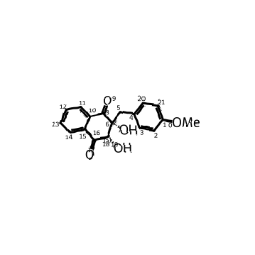 COc1ccc(C[C@]2(O)C(=O)c3ccccc3C(=O)[C@H]2O)cc1